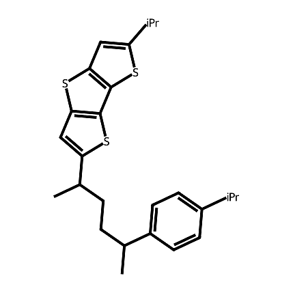 CC(C)c1ccc(C(C)CCC(C)c2cc3sc4cc(C(C)C)sc4c3s2)cc1